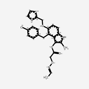 CC=NOCC(=O)Oc1c(C)[nH]c2ccc(OCc3nccs3)c(Cc3ccc(Cl)cc3)c12